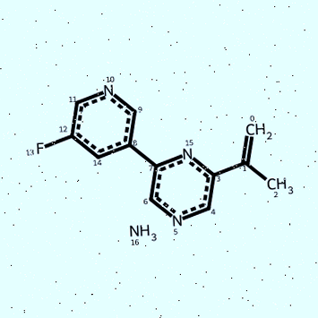 C=C(C)c1cncc(-c2cncc(F)c2)n1.N